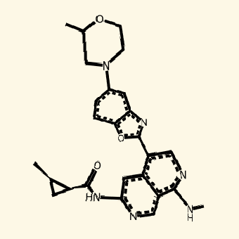 CNc1ncc(-c2nc3cc(N4CCOC(C)C4)ccc3o2)c2cc(NC(=O)[C@H]3C[C@H]3C)ncc12